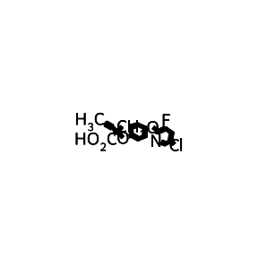 CC#C[C@@](C)(Oc1ccc(Oc2ncc(Cl)cc2F)cc1)C(=O)O